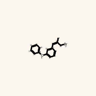 CC(=Cc1cccc(Oc2ccccc2)c1)CBr